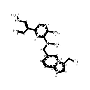 CN/C=C(\C=N)c1cnc(N)c(N(N)Cc2ccc3ncc(CO)n3c2)n1